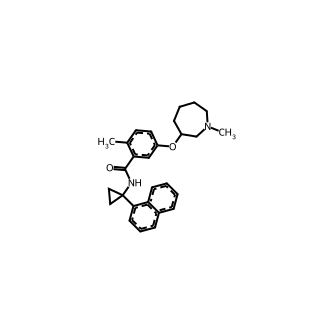 Cc1ccc(OC2CCCCN(C)C2)cc1C(=O)NC1(c2cccc3ccccc23)CC1